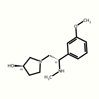 CN[C@H](CN1CC[C@@H](O)C1)c1cccc(OC)c1